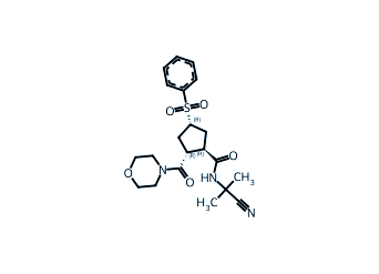 CC(C)(C#N)NC(=O)[C@@H]1C[C@@H](S(=O)(=O)c2ccccc2)C[C@H]1C(=O)N1CCOCC1